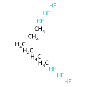 C.C.C.C.C.C.F.F.F.F.F.F